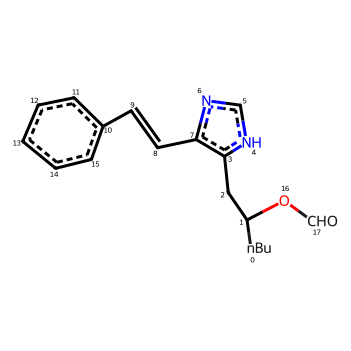 CCCCC(Cc1[nH]cnc1C=Cc1ccccc1)OC=O